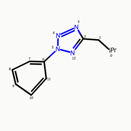 CC(C)Cc1nnn(-c2ccccc2)n1